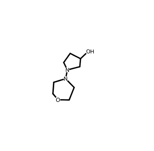 OC1CCN(N2CCOCC2)C1